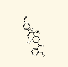 CC1(C)C(c2ccc(C=O)cc2)=CC[C@]2(C)CN(C(=O)c3ccccc3C=O)CC=C12